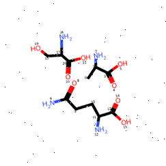 CC(N)C(=O)O.NC(=O)CCC(N)C(=O)O.NC(CO)C(=O)O